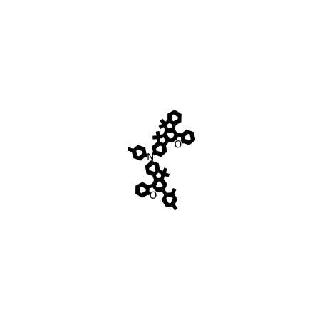 Cc1ccc(N(c2ccc3c(c2)C(C)(C)c2cc(-c4ccc(C)cc4C)c4oc5ccccc5c4c2-3)c2ccc3c(c2)C(C)(C)c2c4c(c5c(oc6ccccc65)c2-3)-c2ccccc2C4(C)C)cc1